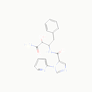 NC(=O)C(O)C(Cc1ccccc1)NC(=O)c1cncn1-c1ccccn1